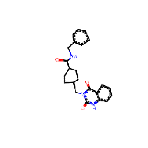 O=C(NCc1ccccc1)C1CCC(Cn2c(=O)[nH]c3ccccc3c2=O)CC1